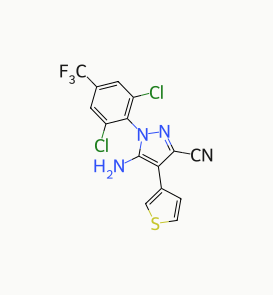 N#Cc1nn(-c2c(Cl)cc(C(F)(F)F)cc2Cl)c(N)c1-c1ccsc1